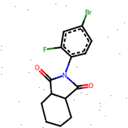 O=C1C2CCCCC2C(=O)N1c1ccc(Br)cc1F